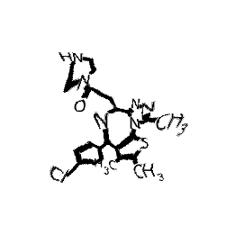 Cc1sc2c(c1C)C(c1ccc(Cl)cc1)=N[C@@H](CC(=O)N1CCNCC1)c1nnc(C)n1-2